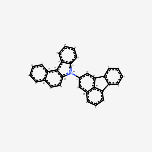 c1ccc2c(c1)-c1cccc3cc(-n4c5ccccc5c5c6ccccc6ccc54)cc-2c13